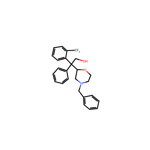 OCC(c1ccccc1)(c1ccccc1C(F)(F)F)C1CN(Cc2ccccc2)CCO1